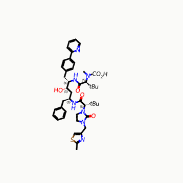 Cc1nc(CN2CCN([C@H](C(=O)N[C@@H](Cc3ccccc3)C[C@H](O)[C@H](Cc3ccc(-c4ccccn4)cc3)NC(=O)[C@@H](N(C)C(=O)O)C(C)(C)C)C(C)(C)C)C2=O)cs1